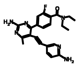 CCN(CC)C(=O)c1ccc(-c2nc(N)nc(C)c2C#Cc2ccc(N)nc2)cc1F